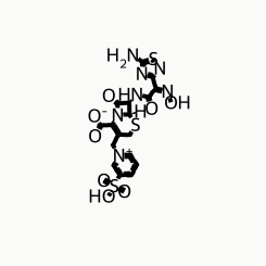 Nc1nc(/C(=N/O)C(=O)N[C@@H]2C(=O)N3C(C(=O)[O-])=C(C[n+]4cccc(S(=O)(=O)O)c4)CS[C@H]23)ns1